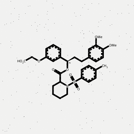 COc1ccc(CC[C@@H](OC(=O)C2CCCCN2S(=O)(=O)c2ccc(C)cc2)c2cccc(OCC(=O)O)c2)cc1OC